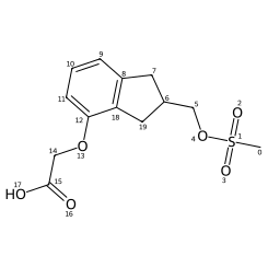 CS(=O)(=O)OCC1Cc2cccc(OCC(=O)O)c2C1